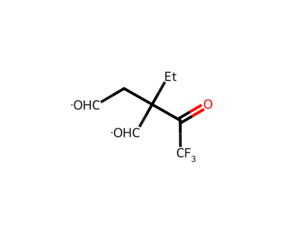 CCC([C]=O)(C[C]=O)C(=O)C(F)(F)F